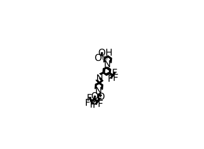 O=C(O)[C@@H]1CCCN(c2cc(CN3CC4(CCN(C(=O)OC(C(F)(F)F)C(F)(F)F)CC4)C3)cc(C(F)(F)F)c2)C1